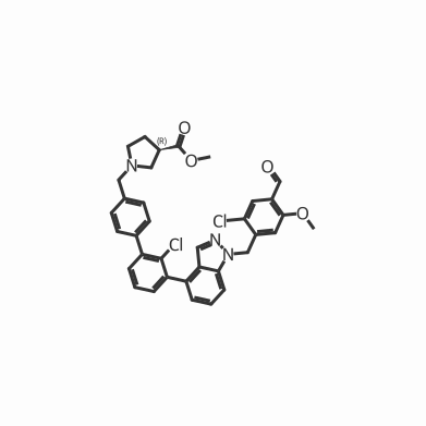 COC(=O)[C@@H]1CCN(Cc2ccc(-c3cccc(-c4cccc5c4cnn5Cc4cc(OC)c(C=O)cc4Cl)c3Cl)cc2)C1